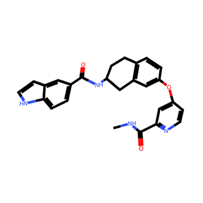 CNC(=O)c1cc(Oc2ccc3c(c2)CC(NC(=O)c2ccc4[nH]ccc4c2)CC3)ccn1